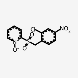 O=[N+]([O-])c1ccc(CS(=O)(=O)c2cccc[n+]2[O-])c(Cl)c1